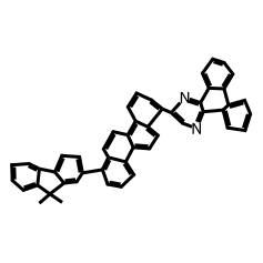 CC1(C)c2ccccc2-c2ccc(-c3cccc4c3ccc3c5cccc(-c6cnc7c8ccccc8c8ccccc8c7n6)c5ccc43)cc21